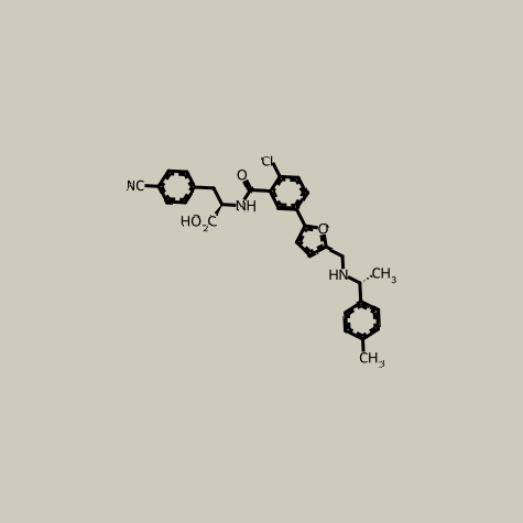 Cc1ccc([C@@H](C)NCc2ccc(-c3ccc(Cl)c(C(=O)N[C@H](Cc4ccc(C#N)cc4)C(=O)O)c3)o2)cc1